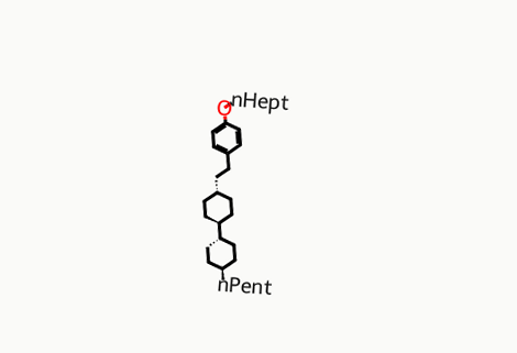 CCCCCCCOc1ccc(CC[C@H]2CC[C@H]([C@H]3CC[C@H](CCCCC)CC3)CC2)cc1